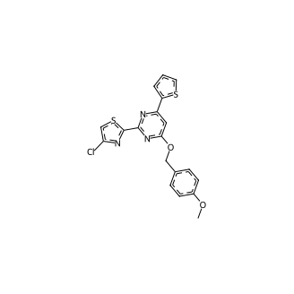 COc1ccc(COc2cc(-c3cccs3)nc(-c3nc(Cl)cs3)n2)cc1